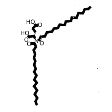 CCCCCCCCCCCCCCCCCC(=O)N(C(=O)CCCCCCCCCCCCCCCCC)[C@@H](CCC(=O)O)C(=O)O